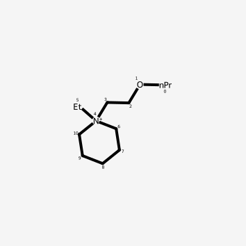 CCCOCC[N+]1(CC)CCCCC1